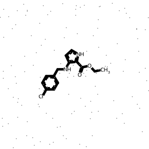 CCOC(=O)c1[nH]ccc1NCc1ccc(Cl)cc1